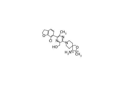 Cc1nc(N2CCC3(CC2)CO[C@@H](C)[C@H]3N)c(CO)nc1-c1ccc2c(c1Cl)OCC2